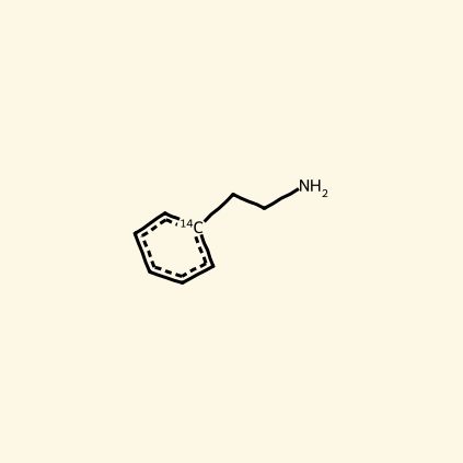 NCC[14c]1ccccc1